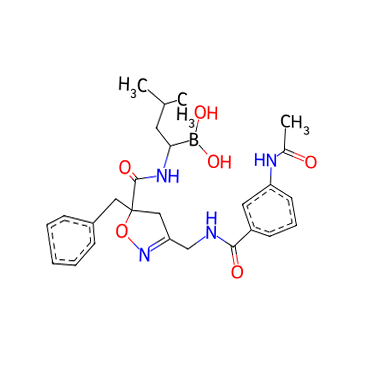 CC(=O)Nc1cccc(C(=O)NCC2=NOC(Cc3ccccc3)(C(=O)NC(CC(C)C)B(O)O)C2)c1